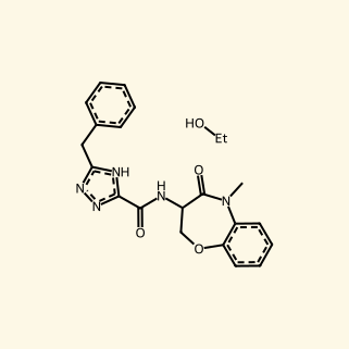 CCO.CN1C(=O)C(NC(=O)c2nnc(Cc3ccccc3)[nH]2)COc2ccccc21